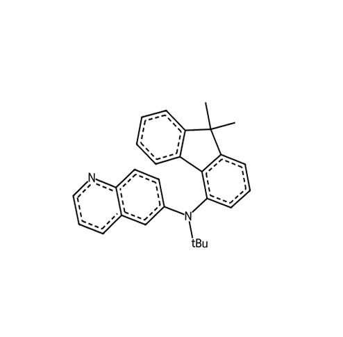 CC1(C)c2ccccc2-c2c(N(c3ccc4ncccc4c3)C(C)(C)C)cccc21